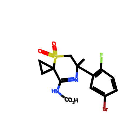 CC1(c2cc(Br)ccc2F)CS(=O)(=O)C2(CC2)C(NC(=O)O)=N1